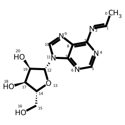 CC=Nc1ncnc2c1ncn2[C@@H]1O[C@H](CO)[C@@H](O)[C@H]1O